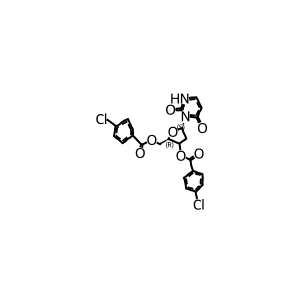 O=C(OC[C@H]1O[C@H](n2c(=O)cc[nH]c2=O)CC1OC(=O)c1ccc(Cl)cc1)c1ccc(Cl)cc1